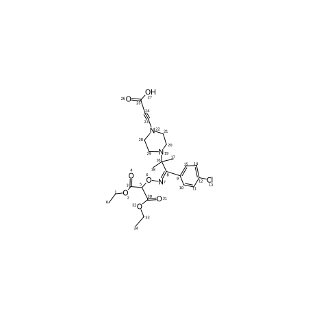 CCOC(=O)C(ON=C(c1ccc(Cl)cc1)C(C)(C)N1CCN(C#CC(=O)O)CC1)C(=O)OCC